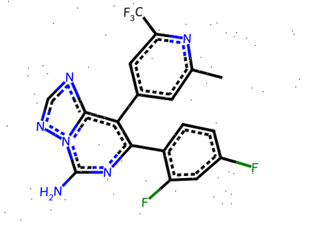 Cc1cc(-c2c(-c3ccc(F)cc3F)nc(N)n3ncnc23)cc(C(F)(F)F)n1